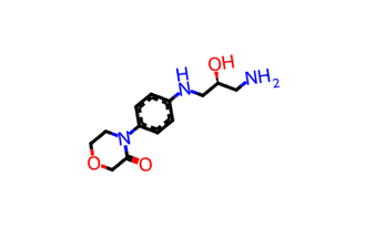 NC[C@H](O)CNc1ccc(N2CCOCC2=O)cc1